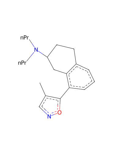 CCCN(CCC)C1CCc2cccc(-c3oncc3C)c2C1